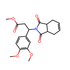 COC(=O)CC(c1ccc(OC)c(OC)c1)N1C(=O)C2CC=CCC2C1=O